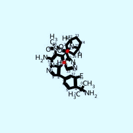 CC(C)(N)c1ccc(-c2cnn3c(N)c(S(C)(=O)=O)c([C@H]4C[C@H]5CC[C@@H](C4)N5C(=O)c4nnc[nH]4)nc23)cc1F